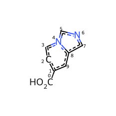 O=C(O)c1ccn2cncc2c1